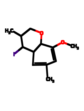 COC1=CC(C)=CC2C1OCC(C)C2I